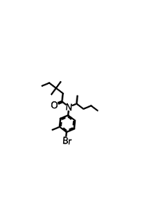 CCCC(C)N(C(=O)CC(C)(C)CC)c1ccc(Br)c(C)c1